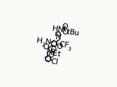 CCS(=O)(=O)N(Cc1cccc(Cl)c1)C(=O)c1cc(OC(F)(F)F)c(CN2CCC(NC(=O)OC(C)(C)C)C2)cc1N